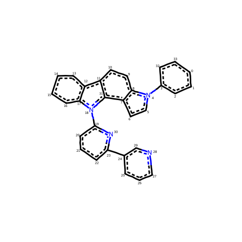 c1ccc(-n2ccc3c2ccc2c4ccccc4n(-c4cccc(-c5cccnc5)n4)c23)cc1